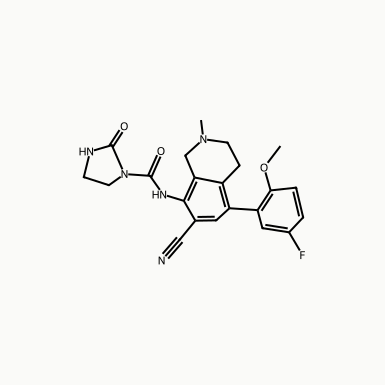 COc1ccc(F)cc1-c1cc(C#N)c(NC(=O)N2CCNC2=O)c2c1CCN(C)C2